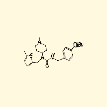 Cc1ccc(CN(C(=O)NCc2ccc(OCC(C)C)cc2)C2CCN(C)CC2)s1